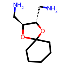 NC[C@@H]1OC2(CCCCC2)O[C@H]1CN